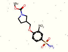 CC(C)(C)OC(=O)N1CCC(COc2ccc(S(N)(=O)=O)cc2[N+](=O)[O-])C1